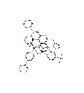 CC(C)(C)c1ccc2c(c1)C1(c3ccccc3Sc3ccc(-c4ccccc4N(c4ccc(-c5ccccc5)cc4)c4ccccc4-c4ccc(-c5ccccc5)cc4)cc31)c1cc(C(C)(C)C)ccc1-2